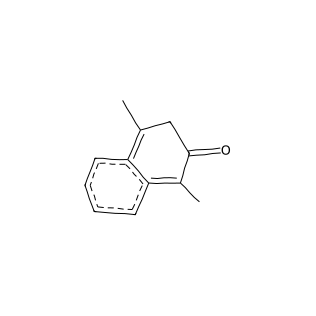 CC1=c2ccccc2=C(C)C(=O)C1